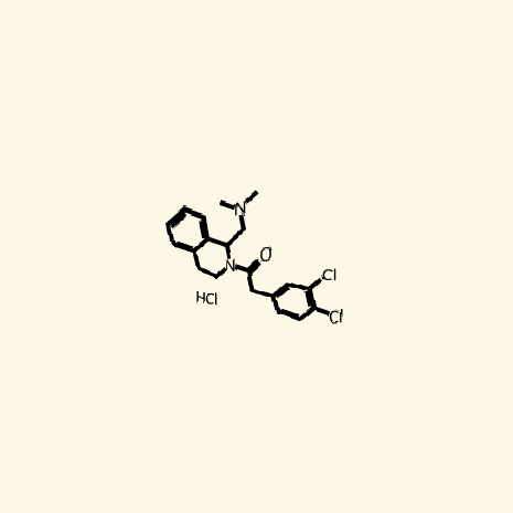 CN(C)CC1c2ccccc2CCN1C(=O)Cc1ccc(Cl)c(Cl)c1.Cl